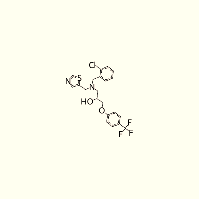 OC(COc1ccc(C(F)(F)F)cc1)CN(Cc1cncs1)Cc1ccccc1Cl